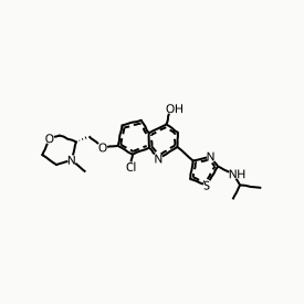 CC(C)Nc1nc(-c2cc(O)c3ccc(OC[C@H]4COCCN4C)c(Cl)c3n2)cs1